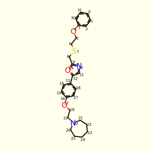 c1ccc(OCCSCc2ncc(-c3ccc(OCCN4CCCCCC4)cc3)o2)cc1